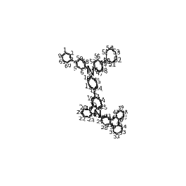 c1ccc(-c2ccc(N(c3ccc(-c4ccc5c(c4)c4ccccc4n5-c4ccc5c6ccccc6c6ccccc6c5c4)cc3)c3ccc(C4CCCCC4)cc3)cc2)cc1